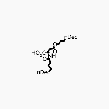 CCCCCCCCCCCCCOC(=O)C[C@H](NC(=O)CCCCCCCCCCCCC)C(=O)O